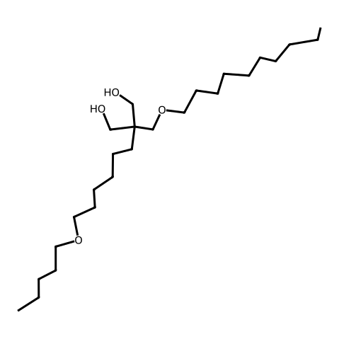 CCCCCCCCCCOCC(CO)(CO)CCCCCCOCCCCC